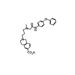 CN(CCCN1CCc2cc(C(=O)O)ccc2C1)CC(=O)Nc1ccc(Oc2ccccc2)cc1